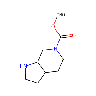 CC(C)(C)OC(=O)N1CCC2CCNC2C1